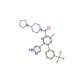 Cc1cc(-c2cccc(C(F)(F)F)c2)c(-c2cn[nH]c2)nc1C(=O)N1CCC(N2CCCC2)CC1